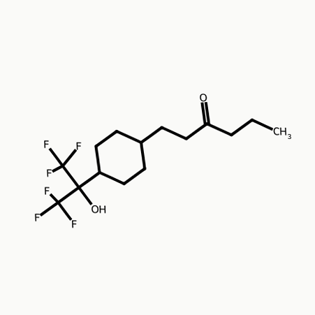 CCCC(=O)CCC1CCC(C(O)(C(F)(F)F)C(F)(F)F)CC1